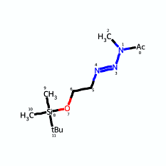 CC(=O)N(C)N=NCCO[Si](C)(C)C(C)(C)C